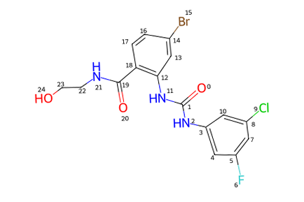 O=C(Nc1cc(F)cc(Cl)c1)Nc1cc(Br)ccc1C(=O)NCCO